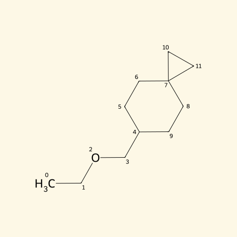 CCOCC1CCC2(CC1)CC2